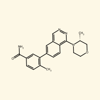 Cc1ccc(C(N)=O)cc1-c1ccc2c(N3CCOC[C@H]3C)nncc2c1